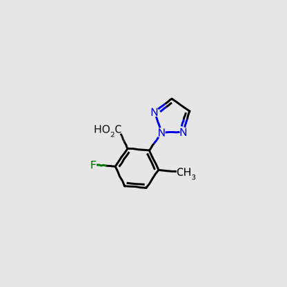 Cc1ccc(F)c(C(=O)O)c1-n1nccn1